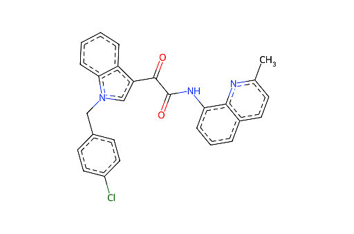 Cc1ccc2cccc(NC(=O)C(=O)c3cn(Cc4ccc(Cl)cc4)c4ccccc34)c2n1